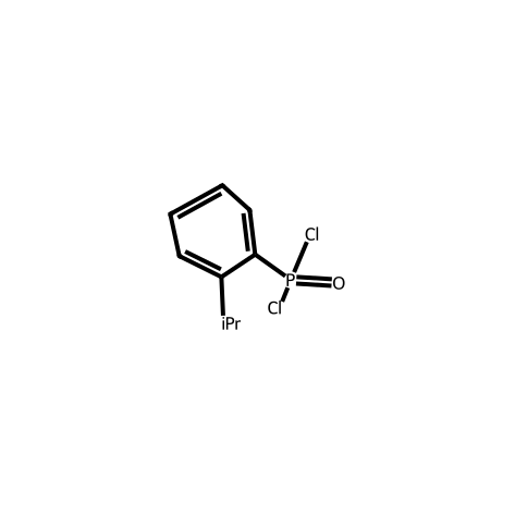 CC(C)c1ccccc1P(=O)(Cl)Cl